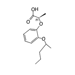 CCCC(C)Oc1ccccc1O[C@H](C)C(=O)O